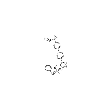 CCOC(=O)C1(c2ccc(-c3ccc(-c4onc(C)c4CN(c4ccccc4Cl)S(C)(=O)=O)cc3)cc2)CC1